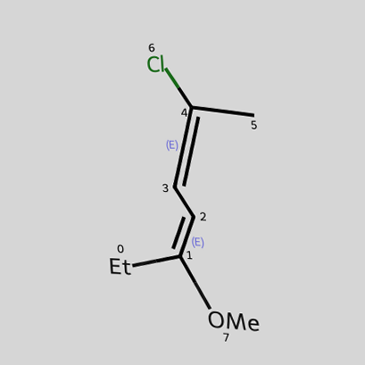 CC/C(=C\C=C(/C)Cl)OC